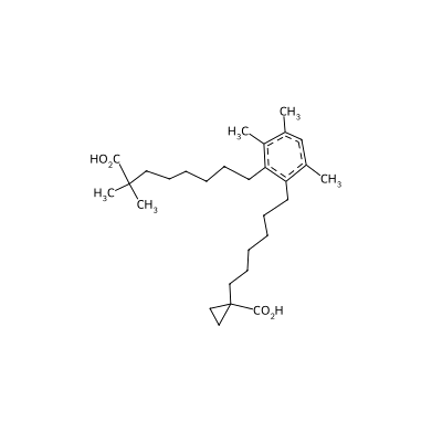 Cc1cc(C)c(CCCCCCC2(C(=O)O)CC2)c(CCCCCCC(C)(C)C(=O)O)c1C